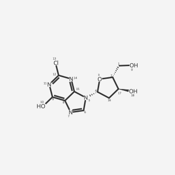 OC[C@H]1O[C@@H](n2cnc3c(O)nc(Cl)nc32)C[C@@H]1O